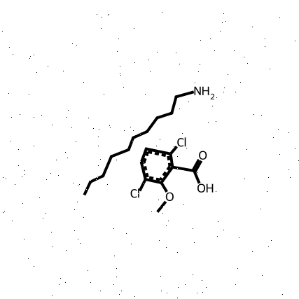 CCCCCCCCCCN.COc1c(Cl)ccc(Cl)c1C(=O)O